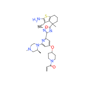 C=CC(=O)N1CCC(Oc2cc(-c3noc(C4(C)CCCc5sc(N)c(C#N)c54)n3)nc(N3CCN(C)C[C@@H]3C)c2)CC1